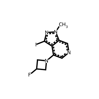 Cn1nc(I)c2c(N3CC(F)C3)cncc21